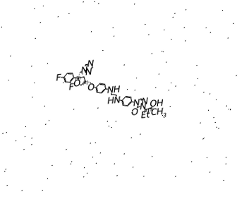 CC[C@@H]([C@H](C)O)n1ncn(-c2ccc(NCCNc3ccc(OC[C@@H]4CO[C@@](Cn5cncn5)(c5ccc(F)cc5F)C4)cc3)cc2)c1=O